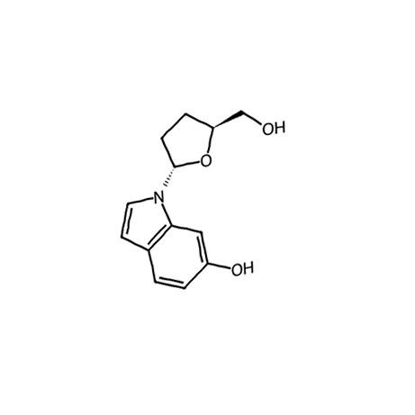 OC[C@@H]1CC[C@@H](n2ccc3ccc(O)cc32)O1